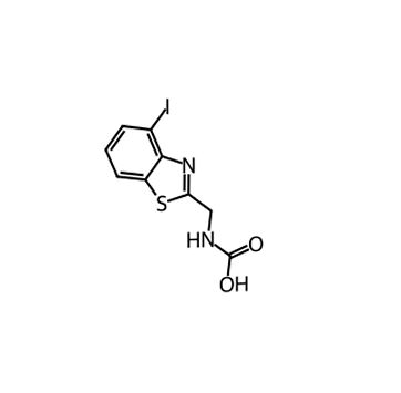 O=C(O)NCc1nc2c(I)cccc2s1